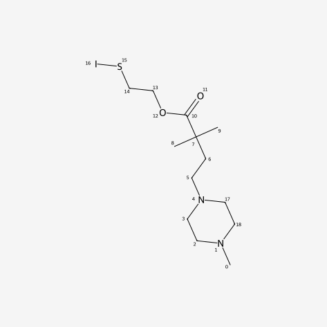 CN1CCN(CCC(C)(C)C(=O)OCCSI)CC1